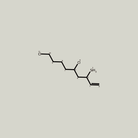 C=CC([SiH3])CC(Cl)CCCCCl